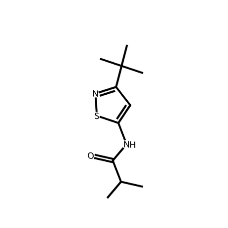 CC(C)C(=O)Nc1cc(C(C)(C)C)ns1